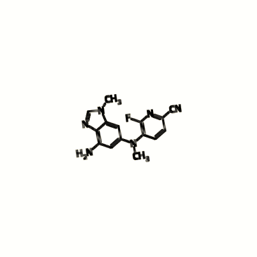 CN(c1cc(N)c2ncn(C)c2c1)c1ccc(C#N)nc1F